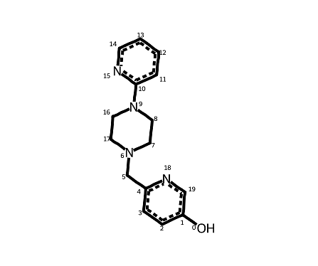 Oc1ccc(CN2CCN(c3ccccn3)CC2)nc1